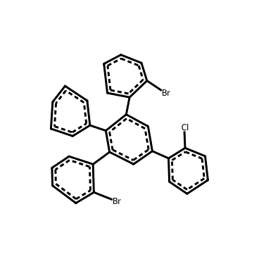 Clc1ccccc1-c1cc(-c2ccccc2Br)c(-c2ccccc2)c(-c2ccccc2Br)c1